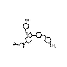 CN1CCN(Cc2ccc(-c3cn(CC4CCC(O)CC4)c4nc(NCCC5CC5)ncc34)cc2)CC1